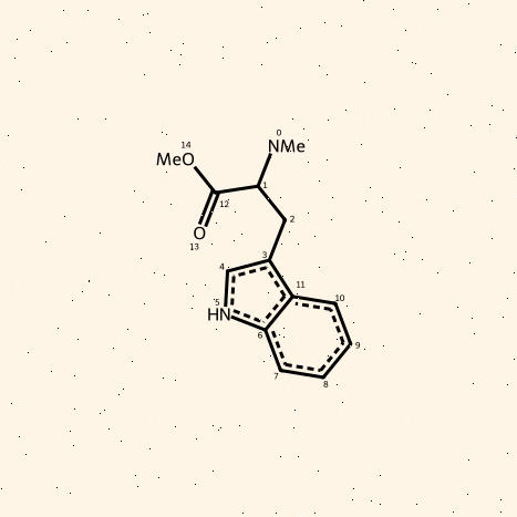 CNC(Cc1c[nH]c2ccccc12)C(=O)OC